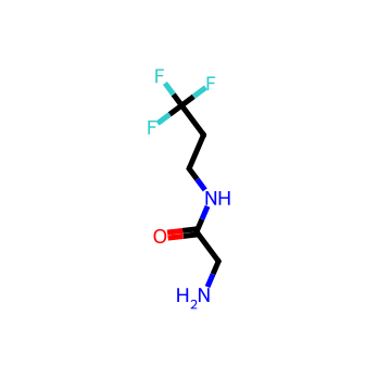 NCC(=O)NCCC(F)(F)F